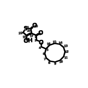 O=C(COCC1CCCCCCCCCCC1)C1=C(O)CSC1=O